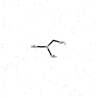 CCCCN(C[SiH2])CCCC